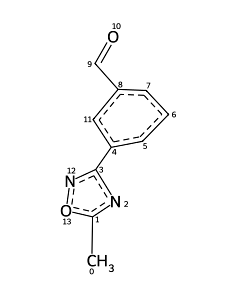 Cc1nc(-c2cccc(C=O)c2)no1